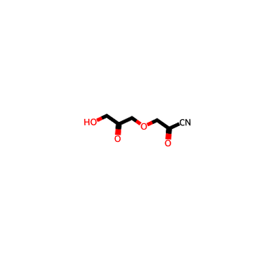 N#CC(=O)COCC(=O)CO